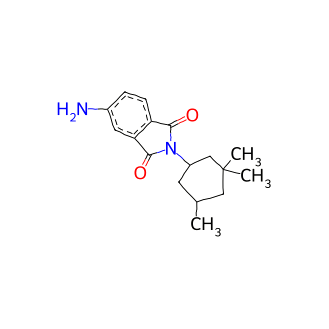 CC1CC(N2C(=O)c3ccc(N)cc3C2=O)CC(C)(C)C1